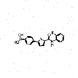 O=C(Nc1ccccc1F)c1ccc(-c2ccc(B(O)O)cc2)s1